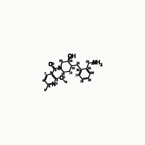 COc1nc(C)ccc1C(=O)N1CCC(Cc2ccccc2CN)[C@H](O)C1